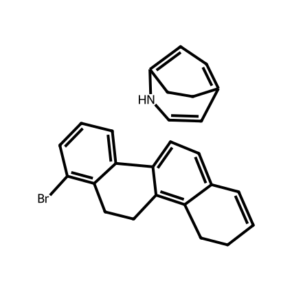 Brc1cccc2c1CCc1c-2ccc2c1CCC=C2.C1=CC2=CC=C(CC2)N1